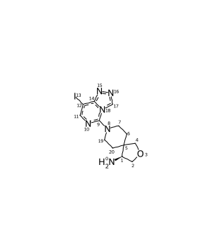 N[C@@H]1COCC12CCN(c1ncc(I)c3nncn13)CC2